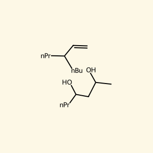 C=CC(CCC)CCCC.CCCC(O)CC(C)O